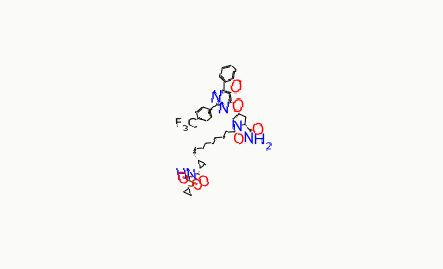 NC(=O)[C@@H]1C[C@@H](Oc2nc(-c3ccc(C(F)(F)F)cc3)nc3c2oc2ccccc23)CN1C(=O)CCCCCC/C=C\[C@@H]1C[C@@H]1C(=O)NS(=O)(=O)C1CC1